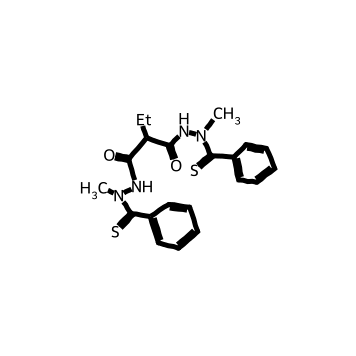 CCC(C(=O)NN(C)C(=S)c1ccccc1)C(=O)NN(C)C(=S)c1ccccc1